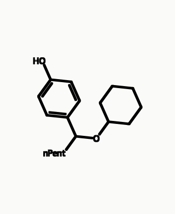 CCCCCC(OC1CCCCC1)c1ccc(O)cc1